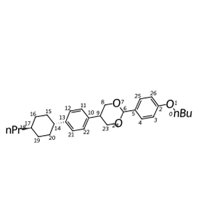 CCCCOc1ccc(C2OCC(c3ccc([C@H]4CC[C@H](CCC)CC4)cc3)CO2)cc1